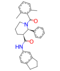 Cc1cccc(C)c1C(=O)N1CCC[C@H](C(=O)Nc2ccc3c(c2)CCC3)[C@@H]1c1ccccc1